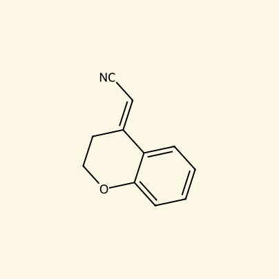 N#CC=C1CCOc2ccccc21